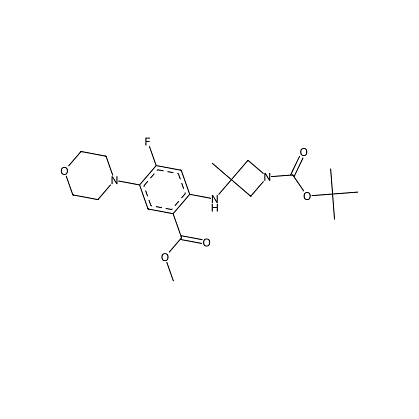 COC(=O)c1cc(N2CCOCC2)c(F)cc1NC1(C)CN(C(=O)OC(C)(C)C)C1